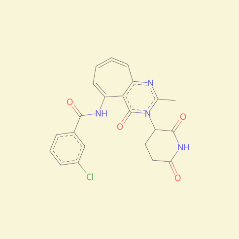 Cc1nc2c(c(=O)n1C1CCC(=O)NC1=O)C(NC(=O)c1cccc(Cl)c1)=CC=C=C2